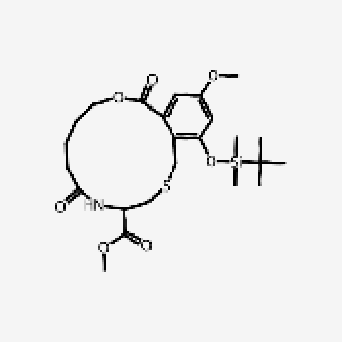 COC(=O)[C@@H]1CSCc2c(O[Si](C)(C)C(C)(C)C)cc(OC)cc2C(=O)OCCCCC(=O)N1